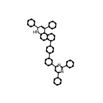 C1=C(c2ccccc2)c2c(ccc3c(-c4ccc(-c5cccc(-c6cc(-c7ccccc7)nc(-c7ccccc7)n6)c5)cc4)cccc23)NC1c1ccccc1